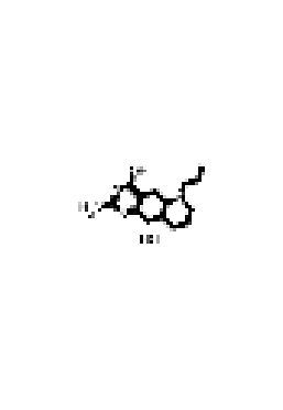 CCCN1CCCC2Cc3nc(N)nc(O)c3CC21.Cl